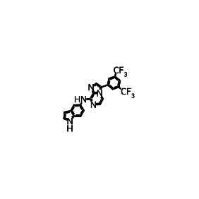 FC(F)(F)c1cc(-c2cnc3c(Nc4ccc5[nH]ccc5c4)nccn23)cc(C(F)(F)F)c1